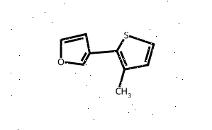 Cc1ccsc1-c1[c]occ1